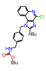 CCCCc1nc2c(Cl)nc3ccccc3c2n1Cc1ccc(CNC(=O)OC(C)(C)C)cc1